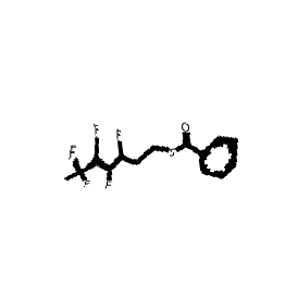 CC(F)(F)C(F)C(F)C(F)CCSC(=O)c1ccccc1